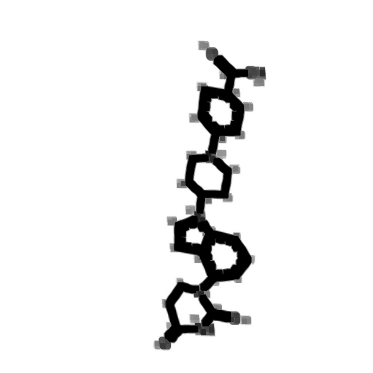 O=C1CCN(c2cccc3c2ccn3C2CCN(c3ccc(C(=O)O)cc3)CC2)C(=O)N1